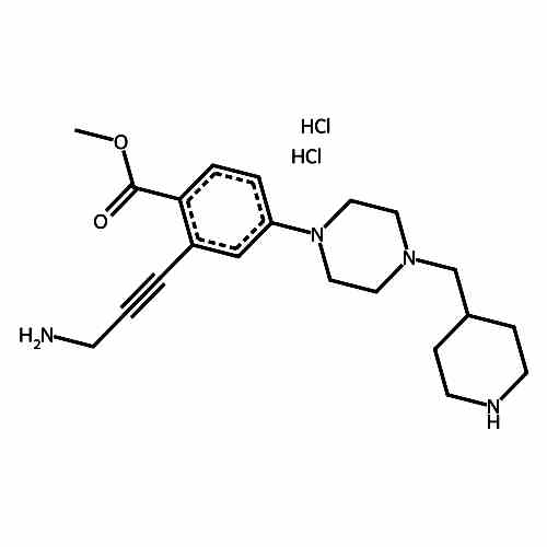 COC(=O)c1ccc(N2CCN(CC3CCNCC3)CC2)cc1C#CCN.Cl.Cl